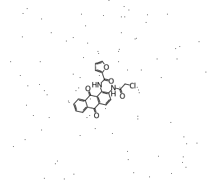 O=C(CCl)Nc1ccc2c(c1NC(=O)c1ccco1)C(=O)c1ccccc1C2=O